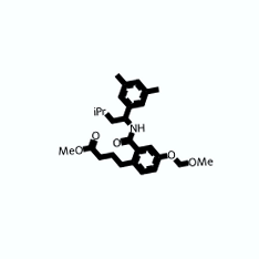 COCOc1ccc(CCCC(=O)OC)c(C(=O)NC(CC(C)C)c2cc(C)cc(C)c2)c1